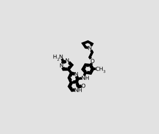 Cc1cc(Nc2nc(-c3cnc(N)nc3)cc3cc[nH]c(=O)c23)ccc1OCCN1CCCC1